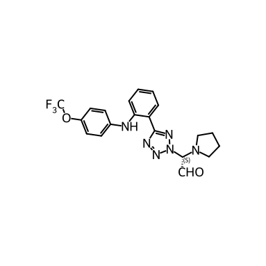 O=C[C@@H](N1CCCC1)n1nnc(-c2ccccc2Nc2ccc(OC(F)(F)F)cc2)n1